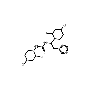 S=C(NC1CCC(Cl)CC1Cl)NC(Cn1ccnc1)C1CCC(Cl)CC1Cl